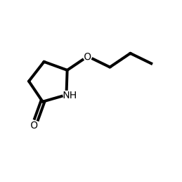 CCCOC1CCC(=O)N1